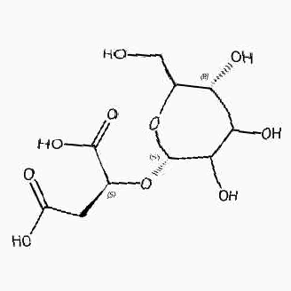 O=C(O)C[C@H](O[C@@H]1OC(CO)[C@H](O)C(O)C1O)C(=O)O